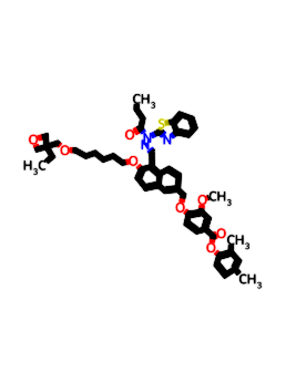 CCCC(=O)N(/N=C/c1c(OCCCCCCOCC2(CC)COC2)ccc2cc(COc3ccc(C(=O)Oc4ccc(C)cc4C)cc3OC)ccc12)c1nc2ccccc2s1